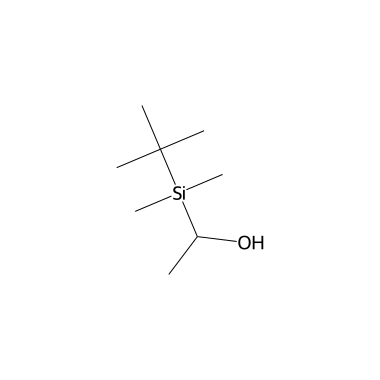 CC(O)[Si](C)(C)C(C)(C)C